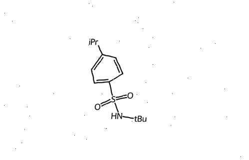 CC(C)c1ccc(S(=O)(=O)NC(C)(C)C)cc1